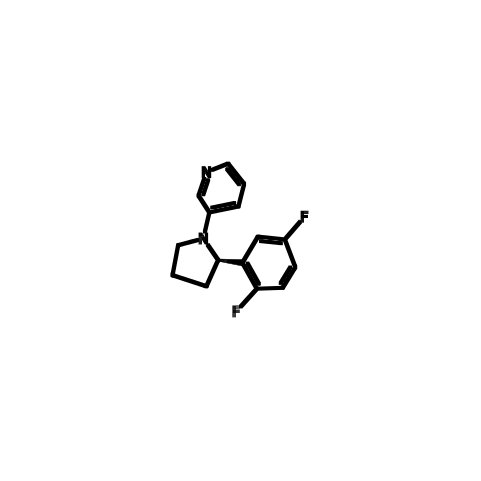 Fc1ccc(F)c([C@H]2CCCN2c2cccnc2)c1